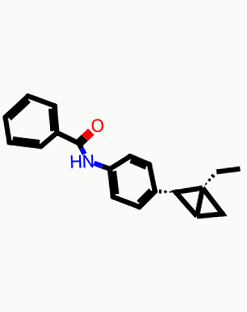 CC[C@]12CC1[C@@H]2c1ccc(NC(=O)c2ccccc2)cc1